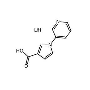 O=C(O)c1ccn(-c2cccnc2)c1.[LiH]